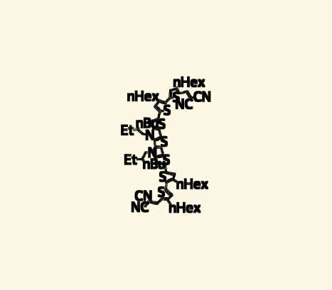 CCCCCCc1cc(-c2sc(-c3cc4c(s3)c3sc5c6sc(-c7cc(CCCCCC)c(-c8cc(CCCCCC)c(C=C(C#N)C#N)s8)s7)cc6n(CC(CC)CCCC)c5c3n4CC(CC)CCCC)cc2CCCCCC)sc1C=C(C#N)C#N